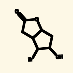 O=C1CC2C(CC(O)C2Br)O1